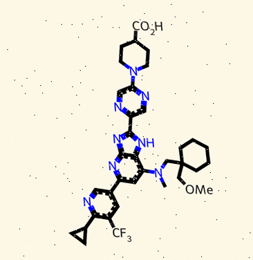 COCC1(CN(C)c2cc(-c3cnc(C4CC4)c(C(F)(F)F)c3)nc3nc(-c4cnc(N5CCC(C(=O)O)CC5)cn4)[nH]c23)CCCCC1